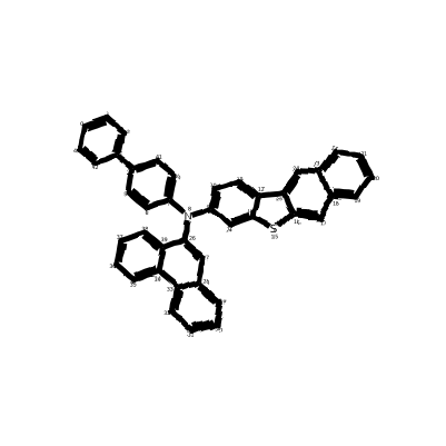 c1ccc(-c2ccc(N(c3ccc4c(c3)sc3cc5ccccc5cc34)c3cc4ccccc4c4ccccc34)cc2)cc1